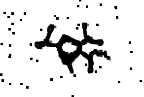 Cc1cc([N+](=O)[O-])cc([N+](=O)[O-])c1C(N)=O